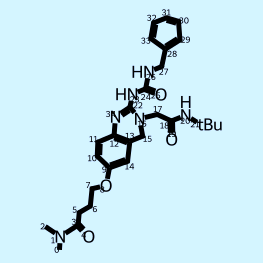 CN(C)C(=O)CCCOc1ccc2c(c1)CN(CC(=O)NC(C)(C)C)C(NC(=O)NCc1ccccc1)=N2